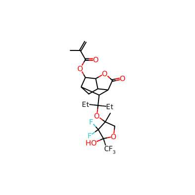 C=C(C)C(=O)OC1C2CC3C1OC(=O)C3C2C(CC)(CC)OC1(C)COC(O)(C(F)(F)F)C1(F)F